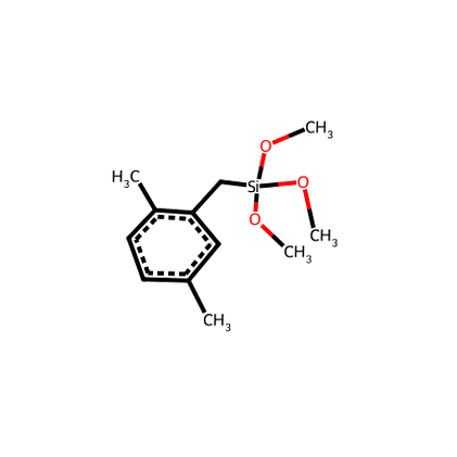 CO[Si](Cc1cc(C)ccc1C)(OC)OC